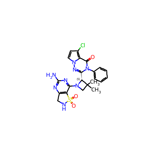 CC1(C)CN(c2nc(N)nc3c2S(=O)(=O)NC3)[C@@H]1c1nn2ccc(Cl)c2c(=O)n1-c1ccccc1